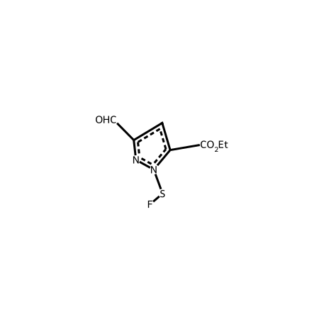 CCOC(=O)c1cc(C=O)nn1SF